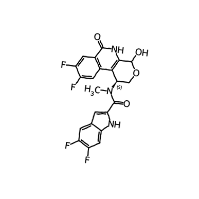 CN(C(=O)c1cc2cc(F)c(F)cc2[nH]1)[C@@H]1COC(O)c2[nH]c(=O)c3cc(F)c(F)cc3c21